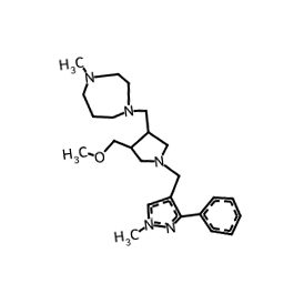 COCC1CN(Cc2cn(C)nc2-c2ccccc2)CC1CN1CCCN(C)CC1